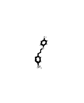 Nc1ccc(CCCOc2ccc(F)cc2)cc1